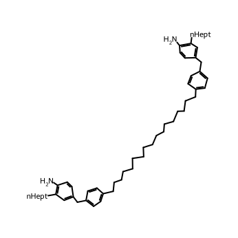 CCCCCCCc1cc(Cc2ccc(CCCCCCCCCCCCCCCCCc3ccc(Cc4ccc(N)c(CCCCCCC)c4)cc3)cc2)ccc1N